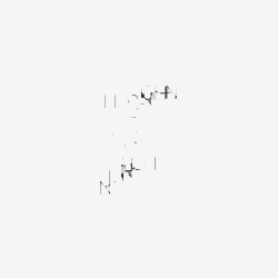 CC12CCCCC1(C)N(c1ccc(C#N)cc1)c1ccc(-c3ccc4c(c3)C(c3ccccc3)(c3ccccc3)c3c-4c4ccccc4c4cc(-c5ccc6c(c5)C5(C)CCCCC5(C)N6c5ccc(C#N)cc5)ccc34)cc12